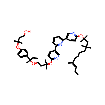 CC/C=C(\C)CCCCC(C)(C)CC(C)(C)Oc1ccc(-c2cccc(-c3ccc(OC(C)(C)CCOC(C)(CC)c4ccc(OC(C)(C)CCO)cc4)nc3)n2)cn1